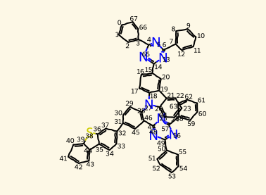 c1ccc(-c2nc(-c3ccccc3)nc(-c3ccc4c(c3)c3ccccc3n4-c3ccc(-c4ccc5c(c4)sc4ccccc45)cc3-c3nc(-c4ccccc4)nc(-c4ccccc4)n3)n2)cc1